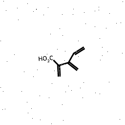 C=CC(=C)C(=C)C(=O)O